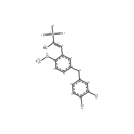 CS(=O)(=O)/C(C#N)=C/c1cc(Cc2ccc(Cl)c(Cl)c2)ccc1OC(F)(F)F